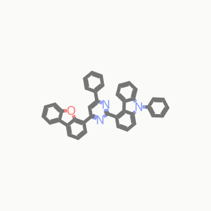 c1ccc(-c2cc(-c3cccc4c3oc3ccccc34)nc(-c3cccc4c3c3ccccc3n4-c3ccccc3)n2)cc1